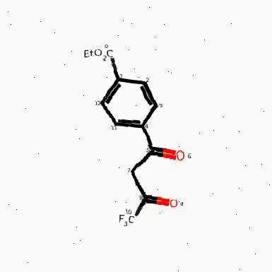 CCOC(=O)c1ccc(C(=O)CC(=O)C(F)(F)F)cc1